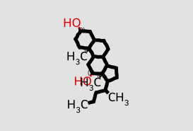 CCCC(C)C1CCC2C3CCC4C[C@H](O)CC[C@]4(C)C3C[C@H](O)[C@]12C